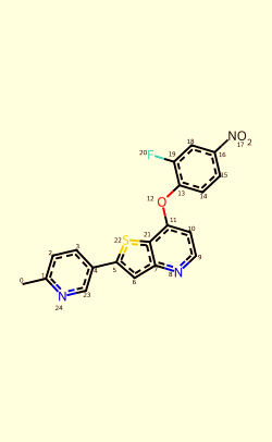 Cc1ccc(-c2cc3nccc(Oc4ccc([N+](=O)[O-])cc4F)c3s2)cn1